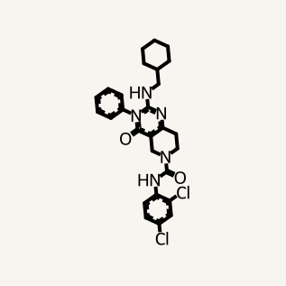 O=C(Nc1ccc(Cl)cc1Cl)N1CCc2nc(NCC3CCCCC3)n(-c3ccccc3)c(=O)c2C1